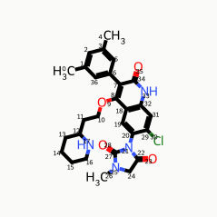 Cc1cc(C)cc(-c2c(OCCC3CCCCN3)c3cc(N4C(=O)CN(C)C4=O)c(Cl)cc3[nH]c2=O)c1